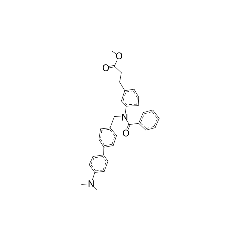 COC(=O)CCc1cccc(N(Cc2ccc(-c3ccc(N(C)C)cc3)cc2)C(=O)c2ccccc2)c1